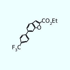 CCOC(=O)c1cc2ccc(-c3ccc(C(F)(F)F)cc3)cc2o1